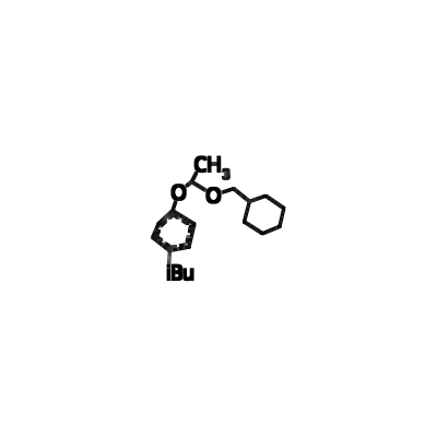 CCC(C)c1ccc(OC(C)OCC2CCCCC2)cc1